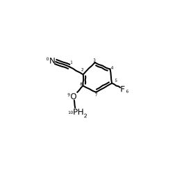 N#Cc1ccc(F)cc1OP